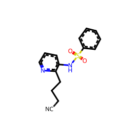 N#CCCCc1ncccc1NS(=O)(=O)c1ccccc1